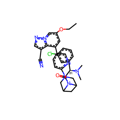 CCOc1cc(-c2ccc(N3CC4CC(C3)N4C(=O)[C@@H](c3cccc(Cl)c3)N(C)C)nc2)c2c(C#N)cnn2c1